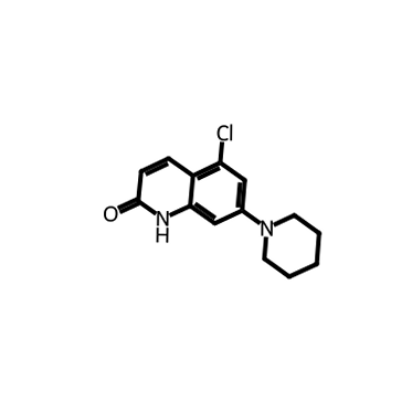 O=c1ccc2c(Cl)cc(N3CCCCC3)cc2[nH]1